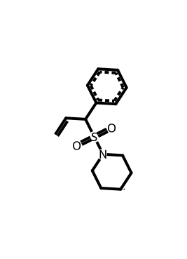 C=CC(c1ccccc1)S(=O)(=O)N1CC[CH]CC1